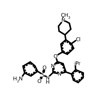 CC(C)c1ccccc1-c1cc(Oc2ccc(Cl)c(C3CCN(C)CC3)c2)nc(NS(=O)(=O)c2cccc(N)c2)n1